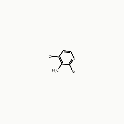 Cc1c(Cl)ccnc1Br